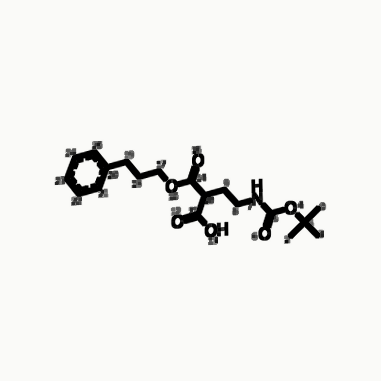 CC(C)(C)OC(=O)NCCC(C(=O)O)C(=O)OCCCc1ccccc1